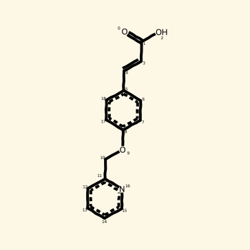 O=C(O)C=Cc1ccc(OCc2ccccn2)cc1